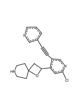 Clc1cc(C2CC3(CCNCC3)O2)c(C#Cc2cccnc2)cn1